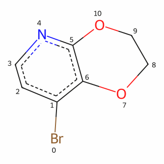 Brc1ccnc2c1OCCO2